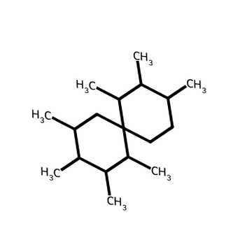 CC1CC2(CCC(C)C(C)C2C)C(C)C(C)C1C